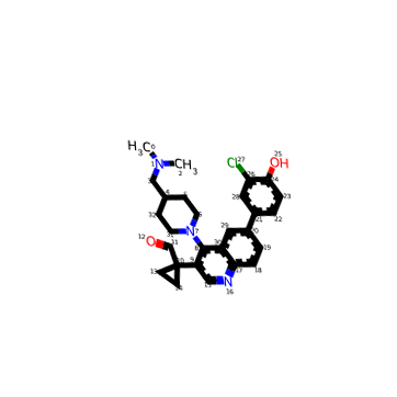 CN(C)CC1CCN(c2c(C3(C=O)CC3)cnc3ccc(-c4ccc(O)c(Cl)c4)cc23)CC1